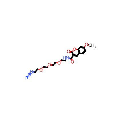 COc1ccc2cc(C(=O)NCCOCCOCCOCCN=[N+]=[N-])c(=O)oc2c1